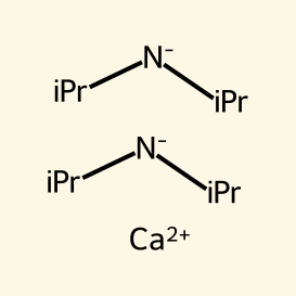 CC(C)[N-]C(C)C.CC(C)[N-]C(C)C.[Ca+2]